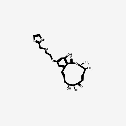 C[C@@H]1OC(=O)c2c(O)cc(OCCNCc3ncc[nH]3)cc2/C=C/C[C@H](O)[C@H](O)C(=O)/C=C\[C@@H]1C